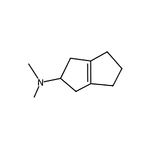 CN(C)C1CC2=C(CCC2)C1